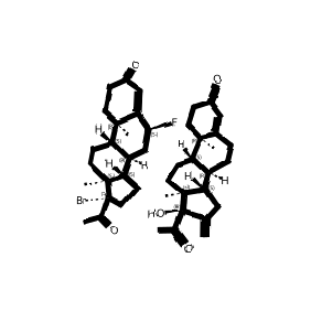 C=C1C[C@H]2[C@@H]3CCC4=CC(=O)CC[C@]4(C)[C@H]3CC[C@]2(C)[C@@]1(O)C(C)=O.CC(=O)[C@]1(Br)CC[C@H]2[C@@H]3C[C@H](F)C4=CC(=O)CC[C@]4(C)[C@H]3CC[C@@]21C